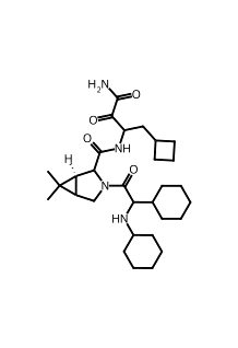 CC1(C)C2CN(C(=O)C(NC3CCCCC3)C3CCCCC3)C(C(=O)NC(CC3CCC3)C(=O)C(N)=O)[C@@H]21